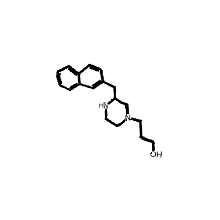 OCCCN1CCNC(Cc2ccc3ccccc3c2)C1